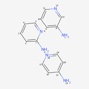 Nc1ccccn1.Nc1cccnc1.Nc1ccncc1